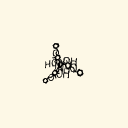 Cc1c(OCc2ccccc2)ccc(-c2nc(-c3ccc(OCc4ccccc4)c(C)c3O)nc(-c3ccc(OCc4ccccc4)c(C)c3O)n2)c1O